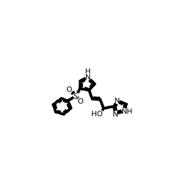 O=S(=O)(c1ccccc1)c1c[nH]cc1C=CC(O)c1nc[nH]n1